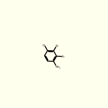 CCc1c(N)ccc(Cl)c1CC